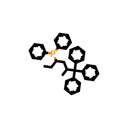 CCC(CC(C)C(c1ccccc1)(c1ccccc1)c1ccccc1)P(c1ccccc1)c1ccccc1